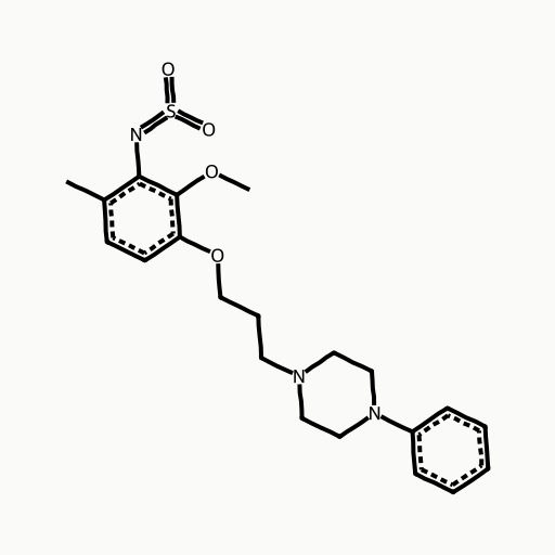 COc1c(OCCCN2CCN(c3ccccc3)CC2)ccc(C)c1N=S(=O)=O